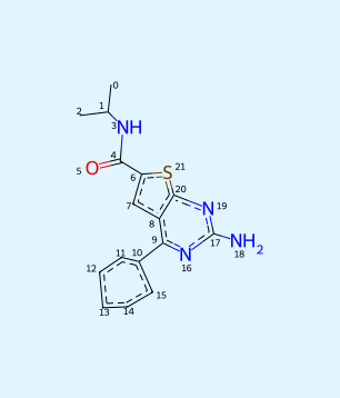 CC(C)NC(=O)c1cc2c(-c3ccccc3)nc(N)nc2s1